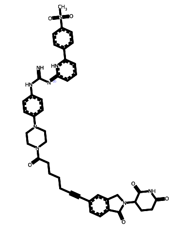 CS(=O)(=O)c1ccc(-c2ccc/c(=N/C(=N)Nc3ccc(N4CCN(C(=O)CCCCC#Cc5ccc6c(c5)CN(C5CCC(=O)NC5=O)C6=O)CC4)cc3)[nH]2)cc1